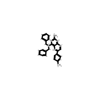 Cc1ccc(-c2cnc3nc(N)nc(N(Cc4ccccc4)Cc4ccccc4)c3n2)cc1